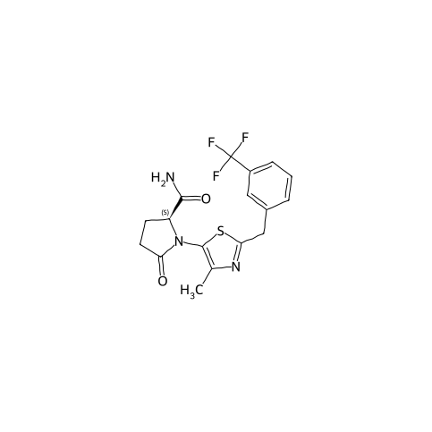 Cc1nc(Cc2cccc(C(F)(F)F)c2)sc1N1C(=O)CC[C@H]1C(N)=O